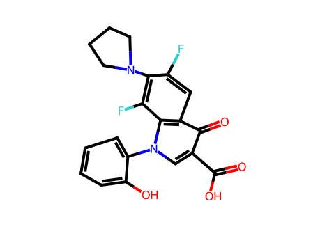 O=C(O)c1cn(-c2ccccc2O)c2c(F)c(N3CCCC3)c(F)cc2c1=O